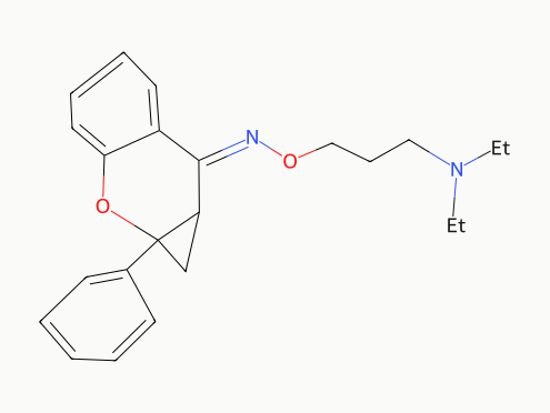 CCN(CC)CCCON=C1c2ccccc2OC2(c3ccccc3)CC12